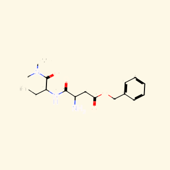 CON(C)C(=O)C(CC(C)C)NC(=O)C(N)CC(=O)OCc1ccccc1